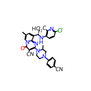 Cc1cc([C@@H](C)Nc2ccc(Cl)nc2C(=O)O)c2nc(N3CCN(c4ccc(C#N)cc4)CC3C)c(C#N)c(=O)n2c1